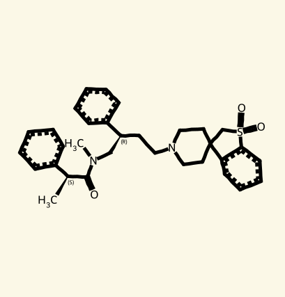 C[C@H](C(=O)N(C)C[C@H](CCN1CCC2(CC1)CS(=O)(=O)c1ccccc12)c1ccccc1)c1ccccc1